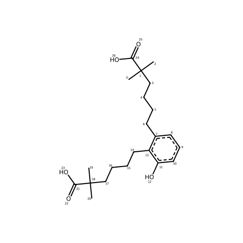 CC(C)(CCCCc1cccc(O)c1CCCCC(C)(C)C(=O)O)C(=O)O